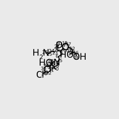 CC1(C)CN(CCCC2C3CC(CC(O)CO)CCC3OC[C@H]2CCCN)CC1(O)C1CCC(Cl)CC1